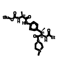 CCC(=O)N[C@@H](C(=O)N1CCN(C)CC1)[C@@H](C)c1ccc(NC(=O)[C@H](C)NC(=O)OC(C)(C)C)cc1